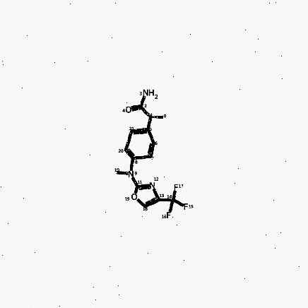 C[C@H](C(N)=O)c1ccc(N(C)c2nc(C(F)(F)F)co2)cc1